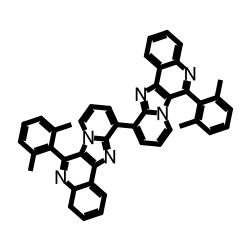 Cc1cccc(C)c1C1=NC2CC=CC=C2c2nc3c(-c4cccn5c4nc4c6ccccc6nc(-c6c(C)cccc6C)c45)cccn3c21